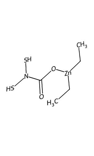 C[CH2][Zn]([CH2]C)[O]C(=O)N(S)S